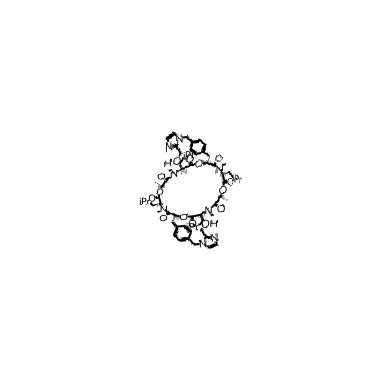 CC(C)C[C@H]1C(=O)O[C@H](Cc2ccc(Cn3ccnc3CO)cc2)C(=O)N(C)[C@@H](CC(C)C)C(=O)O[C@H](C)C(=O)N(C)[C@@H](CC(C)C)C(=O)O[C@H](Cc2ccc(Cn3ccnc3CO)cc2)C(=O)N(C)[C@@H](CC(C)C)C(=O)O[C@H](C)C(=O)N1C